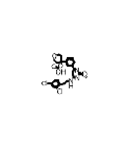 COc1nc(NCCc2ccc(Cl)cc2Cl)cc(-c2cccc(C3(OC(=O)O)CCOCC3)c2)n1